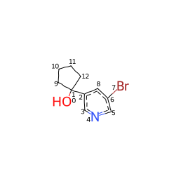 OC1(c2cncc(Br)c2)CCCC1